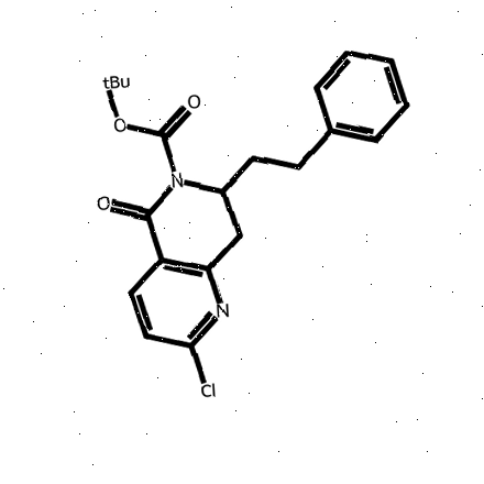 CC(C)(C)OC(=O)N1C(=O)c2ccc(Cl)nc2CC1CCc1ccccc1